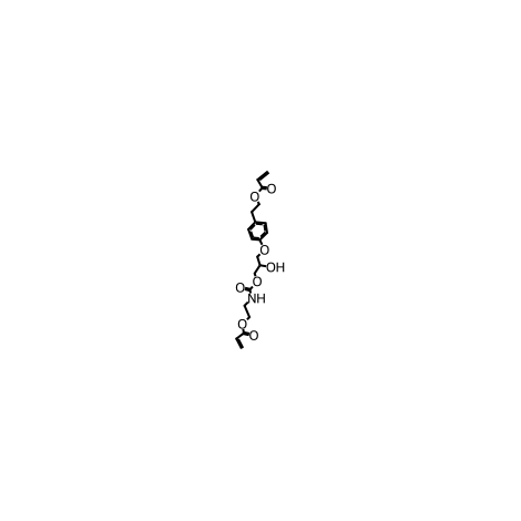 C=CC(=O)OCCNC(=O)OCC(O)COc1ccc(CCOC(=O)C=C)cc1